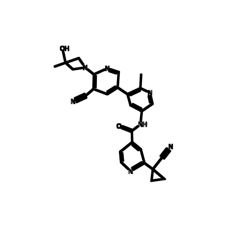 Cc1ncc(NC(=O)c2ccnc(C3(C#N)CC3)c2)cc1-c1cnc(N2CC(C)(O)C2)c(C#N)c1